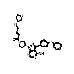 Nc1ncnc2c1c(-c1ccc(Oc3ccccc3)cc1)nn2[C@@H]1CCN(C(=O)/C=C/CN[C@@H]2CCOC2)C1